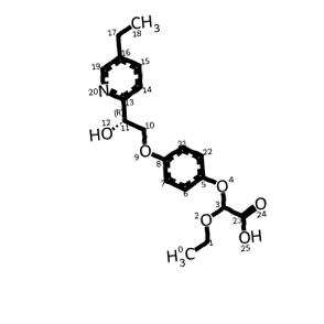 CCOC(Oc1ccc(OC[C@H](O)c2ccc(CC)cn2)cc1)C(=O)O